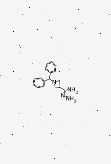 N/N=C(\N)C1CN(C(c2ccccc2)c2ccccc2)C1